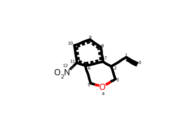 C=CC1COCc2c1cccc2[N+](=O)[O-]